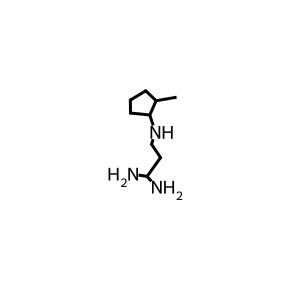 CC1CCCC1NCCC(N)N